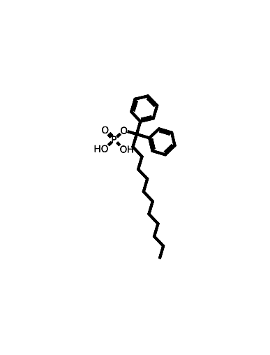 CCCCCCCCCCCC(OP(=O)(O)O)(c1ccccc1)c1ccccc1